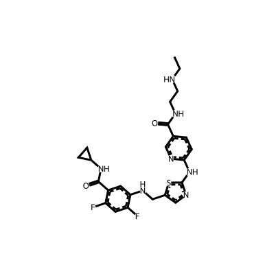 CCNCCNC(=O)c1ccc(Nc2ncc(CNc3cc(C(=O)NC4CC4)c(F)cc3F)s2)nc1